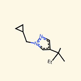 CCC(C)(C)c1cnn(CC2CC2)c1